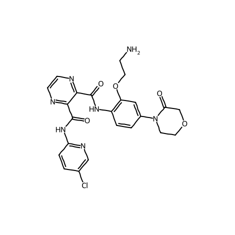 NCCOc1cc(N2CCOCC2=O)ccc1NC(=O)c1nccnc1C(=O)Nc1ccc(Cl)cn1